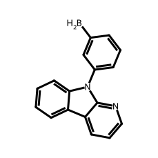 Bc1cccc(-n2c3ccccc3c3cccnc32)c1